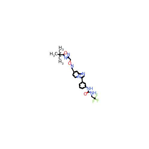 CC(C)(C)c1nc(CON=Cc2ccn3c(-c4cccc(NC(=O)NCC(F)(F)F)c4)cnc3c2)no1